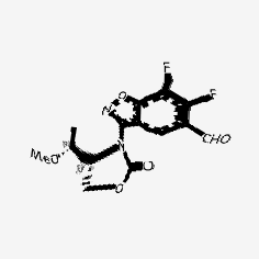 CO[C@H](C)[C@H]1COC(=O)N1c1noc2c(F)c(F)c(C=O)cc12